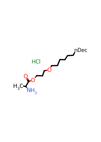 CCCCCCCCCCCCCCCCOCCCOC(=O)C(C)N.Cl